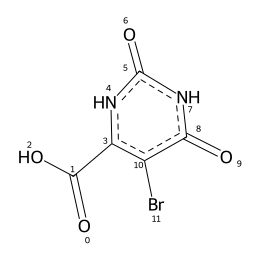 O=C(O)c1[nH]c(=O)[nH]c(=O)c1Br